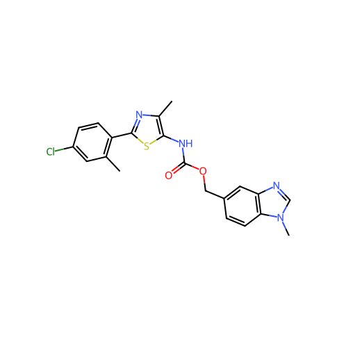 Cc1cc(Cl)ccc1-c1nc(C)c(NC(=O)OCc2ccc3c(c2)ncn3C)s1